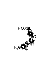 CC(C)(Oc1ccc(C(=O)N2CCC(NC(=O)Nc3ccc(C(F)(F)F)cc3)CC2)cc1)C(=O)O